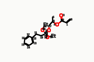 C=CC(=O)OC(C)CO[Si](CCc1ccccc1)(OCC)OCC